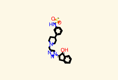 CS(=O)(=O)Nc1cccc(C2CCN(Cc3cn([C@@H]4Cc5ccccc5[C@@H]4O)nn3)CC2)c1